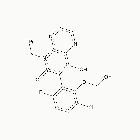 CC(C)Cn1c(=O)c(-c2c(F)ccc(Cl)c2OCO)c(O)c2nccnc21